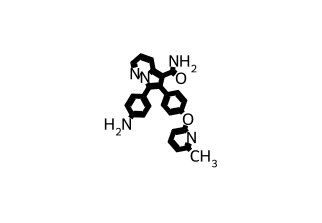 Cc1cccc(Oc2ccc(-c3c(C(N)=O)c4cccnn4c3-c3ccc(N)cc3)cc2)n1